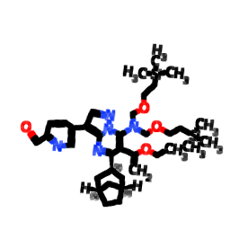 C=C(OCC)c1c([C@H]2C[C@@H]3CC[C@@H](C3)C2)nc2c(-c3ccc(C=O)nc3)cnn2c1N(COCC[Si](C)(C)C)COCC[Si](C)(C)C